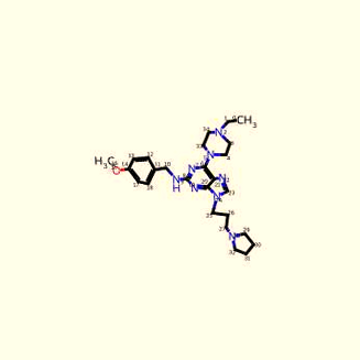 CCN1CCN(c2nc(NCc3ccc(OC)cc3)nc3c2ncn3CCCN2CCCC2)CC1